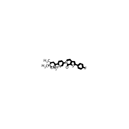 C[C@H](CC(=N)c1ccc(-n2ccc3cc(-c4ccc(F)cc4)sc3c2=O)cn1)N(C)C